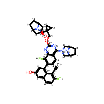 C#Cc1c(F)ccc2cc(O)cc(-c3ccc4c(N5CC6CCC(C5)N6)nc(OCC5(CN6C7CCC6CC(=O)C7)CC5)nc4c3F)c12